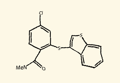 CNC(=O)c1ccc(Cl)cc1Sc1csc2ccccc12